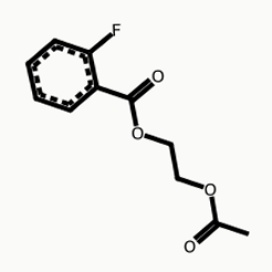 CC(=O)OCCOC(=O)c1ccccc1F